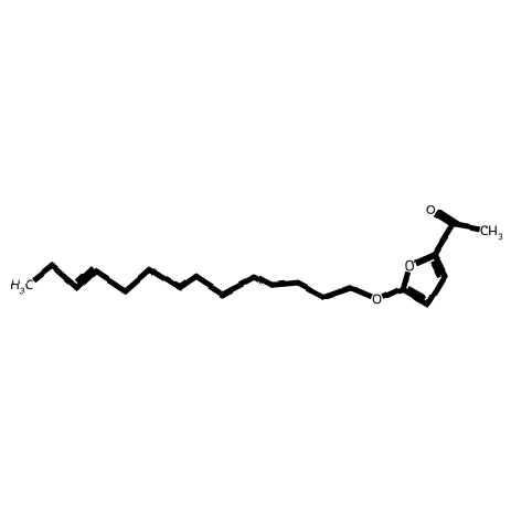 CCC=CCCCCCCCCCCOc1ccc(C(C)=O)o1